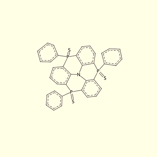 S=P1(c2ccccc2)c2cccc3c2N2c4c1cccc4P(=S)(c1ccccc1)c1cccc(c12)P3(=S)c1ccccc1